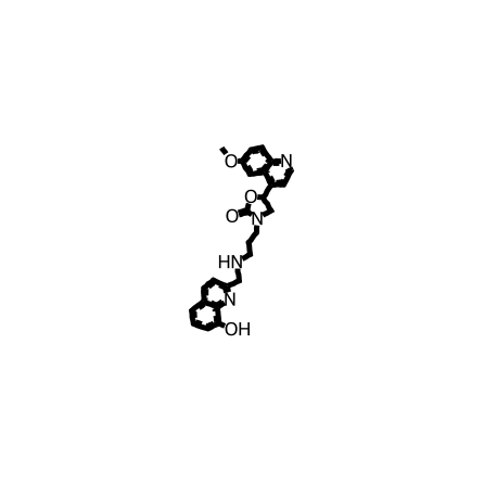 COc1ccc2nccc(C3CN(CCCNCc4ccc5cccc(O)c5n4)C(=O)O3)c2c1